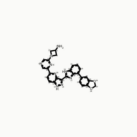 NC1CN(c2cncc(-c3ccc4[nH]nc(-c5nc6c(-c7ccc8c(c7)OCO8)cccc6[nH]5)c4n3)n2)C1